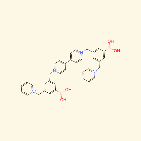 OB(O)c1cc(C[n+]2ccccc2)cc(C[n+]2ccc(-c3cc[n+](Cc4cc(C[n+]5ccccc5)cc(B(O)O)c4)cc3)cc2)c1